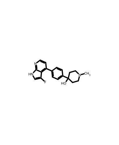 CN1CCC(O)(c2ccc(-c3ccnc4[nH]cc(F)c34)cc2)CC1